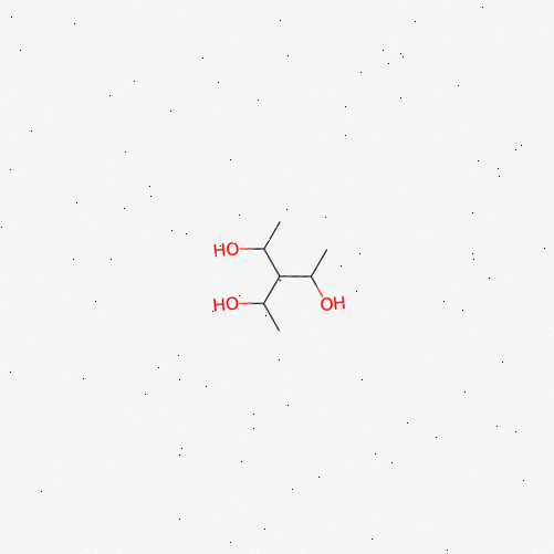 CC(O)[C](C(C)O)C(C)O